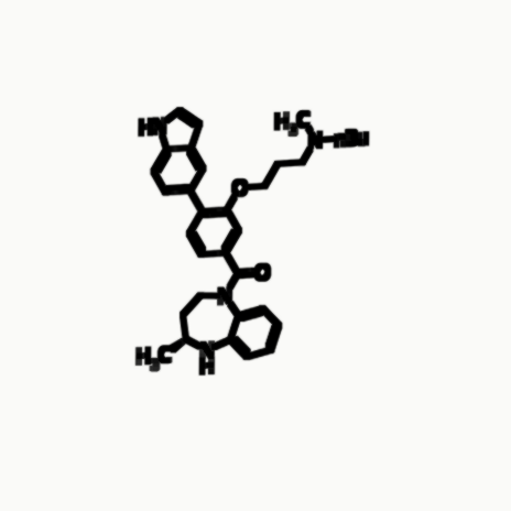 CCCCN(C)CCCOc1cc(C(=O)N2CC[C@H](C)Nc3ccccc32)ccc1-c1ccc2[nH]ccc2c1